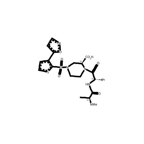 CN[C@@H](C)C(=O)N[C@H](C(=O)N1CCN(S(=O)(=O)c2sccc2-c2ccno2)C[C@H]1C(=O)O)C(C)C